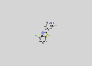 C[C@@H]1C[C@H](c2nc3c(F)cccc3s2)CCN1